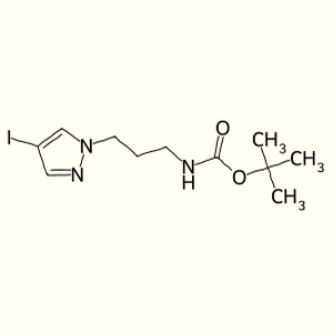 CC(C)(C)OC(=O)NCCCn1cc(I)cn1